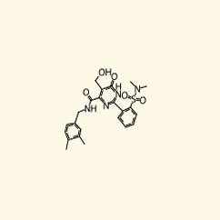 Cc1ccc(CNC(=O)c2nc(-c3ccccc3S(=O)(=O)N(C)C)[nH]c(=O)c2CO)cc1C